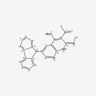 C=C(C)c1c(SC)c2cc(-n3c4ccccc4c4ccccc43)cnc2[nH]/c1=N/C